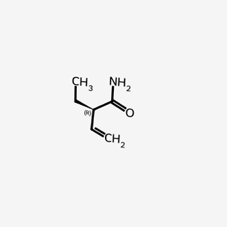 C=C[C@@H](CC)C(N)=O